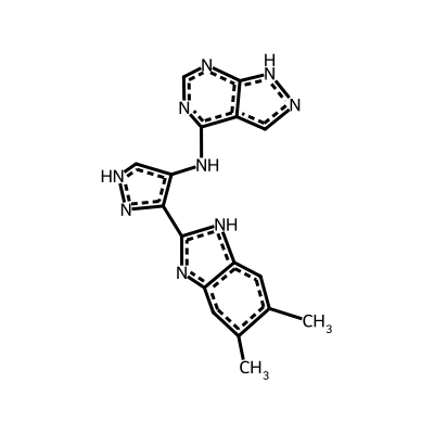 Cc1cc2nc(-c3n[nH]cc3Nc3ncnc4[nH]ncc34)[nH]c2cc1C